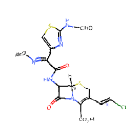 CON=C(C(=O)NC1C(=O)N2C(C(=O)O)=C(/C=C/Cl)CS[C@@H]12)c1csc(NC=O)n1